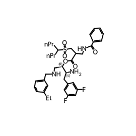 CCCC(CCC)S(=O)(=O)CC(CNC(=O)c1ccccc1)C(=O)O[C@H](CNCc1cccc(CC)c1)[C@@H](N)Cc1cc(F)cc(F)c1